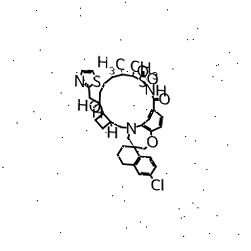 C[C@@H]1[C@@H](C)CCC[C@@](O)(Cc2nccs2)[C@@H]2CC[C@H]2CN2C[C@@]3(CCCc4cc(Cl)ccc43)COc3ccc(cc32)C(=O)NS1(=O)=O